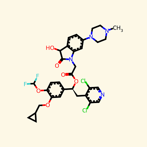 CN1CCN(c2ccc3c(c2)N(CC(=O)O[C@@H](Cc2c(Cl)cncc2Cl)c2ccc(OC(F)F)c(OCC4CC4)c2)C(=O)C3O)CC1